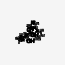 O=C(O)N1CC2CCC(C1)C21C[C@@H]([C@H]2c3ccccc3-c3cncn32)[C@@H]1O